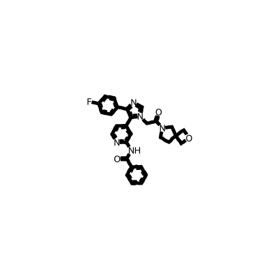 O=C(Nc1cc(-c2c(-c3ccc(F)cc3)ncn2CC(=O)N2CCC3(COC3)C2)ccn1)c1ccccc1